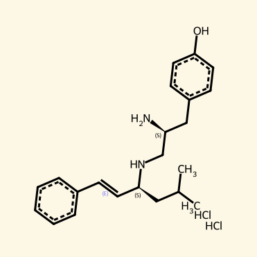 CC(C)C[C@@H](/C=C/c1ccccc1)NC[C@@H](N)Cc1ccc(O)cc1.Cl.Cl